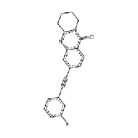 O=c1c2ccc(C#Cc3cccc(F)c3)cc2nc2n1CCCC2